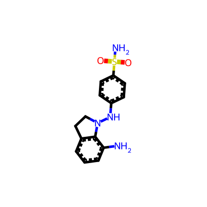 Nc1cccc2c1N(Nc1ccc(S(N)(=O)=O)cc1)CC2